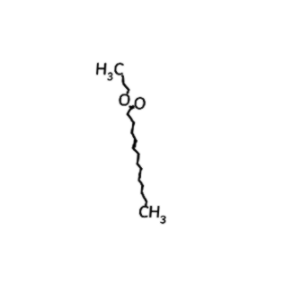 CCCCCCCC/C=C/CCCC(=O)OCCCC